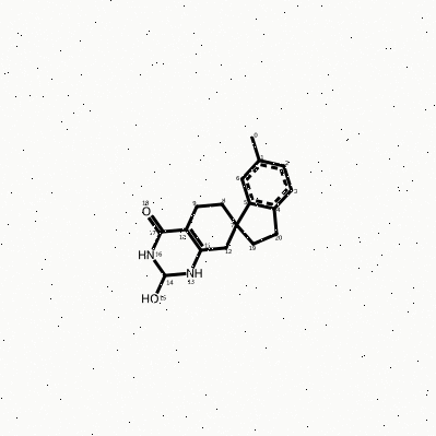 Cc1ccc2c(c1)C1(CCC3=C(C1)NC(O)NC3=O)CC2